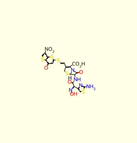 Nc1nc(/C(=N\O)C(=O)NC2C(=O)N3C(C(=O)O)=C(/C=C/Sc4cc(=O)c5scc([N+](=O)[O-])c5s4)CS[C@H]23)cs1